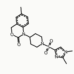 Cc1ccc2c(c1)COC(=O)N2C1CCN(S(=O)(=O)c2cn(C)c(C)n2)CC1